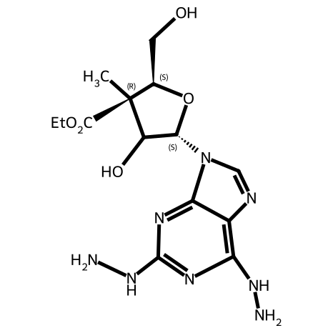 CCOC(=O)[C@]1(C)C(O)[C@@H](n2cnc3c(NN)nc(NN)nc32)O[C@@H]1CO